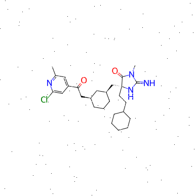 Cc1cc(C(=O)C[C@@H]2CCC[C@H](C[C@@]3(CCC4CCCCC4)NC(=N)N(C)C3=O)C2)cc(Cl)n1